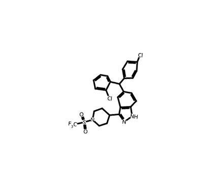 O=S(=O)(N1CCC(c2n[nH]c3ccc(C(c4ccc(Cl)cc4)c4ccccc4Cl)cc23)CC1)C(F)(F)F